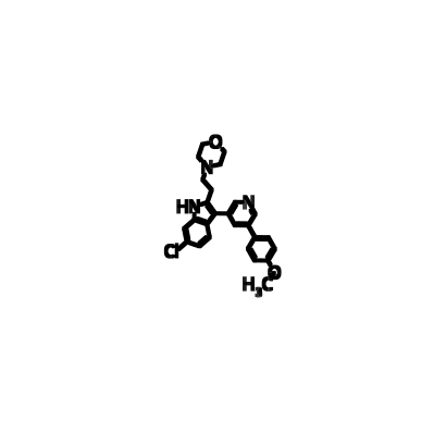 COc1ccc(-c2cncc(-c3c(CCN4CCOCC4)[nH]c4cc(Cl)ccc34)c2)cc1